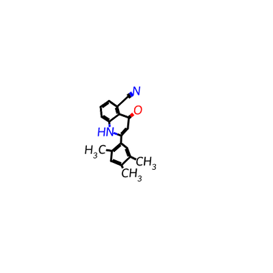 Cc1cc(C)c(-c2cc(=O)c3c(C#N)cccc3[nH]2)cc1C